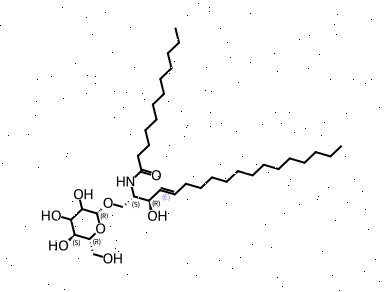 CCCCCCCCCCCCC/C=C/[C@@H](O)[C@H](CO[C@@H]1O[C@H](CO)[C@@H](O)C(O)C1O)NC(=O)CCCCCCCCCCC